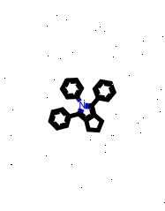 c1ccc(-c2c3c(c(-c4ccccc4)n2-c2ccccc2)CCC3)cc1